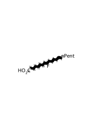 CCCCCC=CCC=CCC(F)=CCC=CCCCC(=O)O